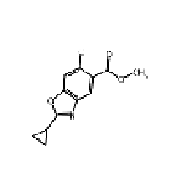 COC(=O)c1cc2nc(C3CC3)oc2cc1Cl